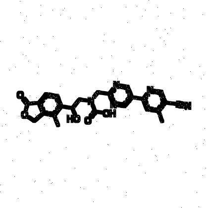 Cc1cc(-c2cnc(CN(CC(O)c3ccc4c(c3C)COC4=O)C(=O)O)nc2)ncc1C#N